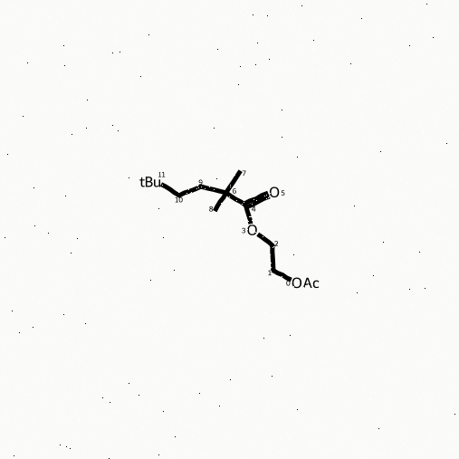 CC(=O)OCCOC(=O)C(C)(C)CCC(C)(C)C